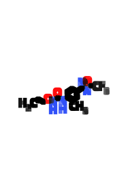 C=CCONC(=O)Nc1ccc(-c2noc(C(F)(F)F)n2)cc1C